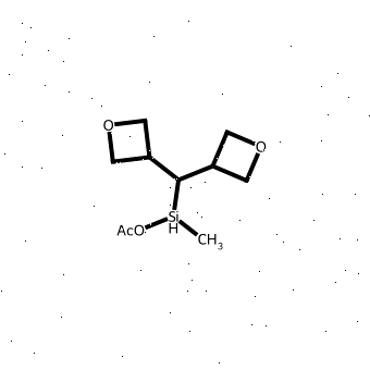 CC(=O)O[SiH](C)C(C1COC1)C1COC1